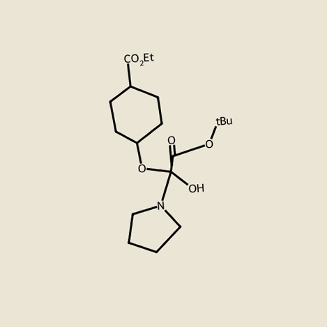 CCOC(=O)C1CCC(OC(O)(C(=O)OC(C)(C)C)N2CCCC2)CC1